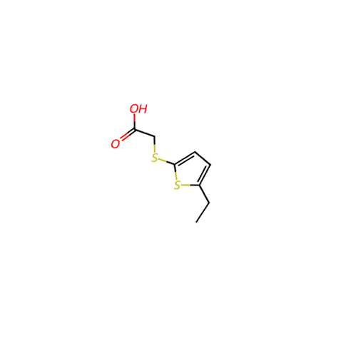 CCc1ccc(SCC(=O)O)s1